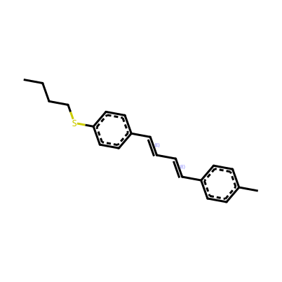 CCCCSc1ccc(/C=C/C=C/c2ccc(C)cc2)cc1